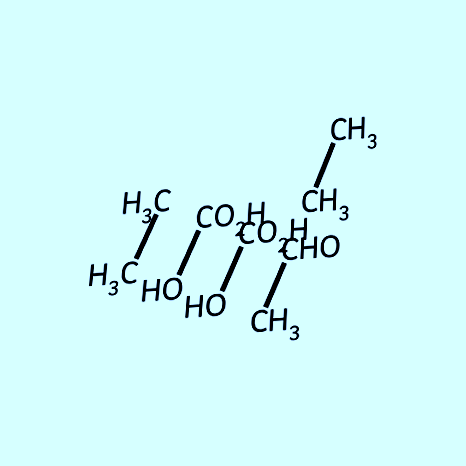 CC.CC.CC=O.O=C(O)O.O=C(O)O